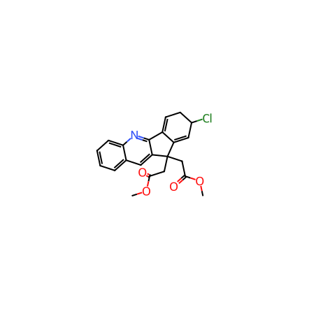 COC(=O)CC1(CC(=O)OC)C2=CC(Cl)CC=C2c2nc3ccccc3cc21